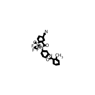 Cc1ccccc1-c1nc2cc(NC(=O)c3cc(C#N)ccc3S(=O)(=O)C(F)(F)F)ccc2o1